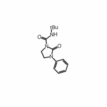 CC(C)(C)NC(=O)N1CCN(c2ccccc2)C1=O